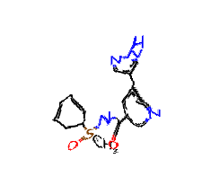 C[S@@](=O)(=NC(=O)c1cncc(-c2cn[nH]c2)c1)C1C=CC=CC1